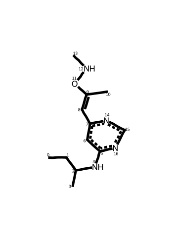 CCC(C)Nc1cc(/C=C(\C)ONC)ncn1